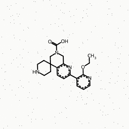 CCOc1ncccc1-c1ccc2c(n1)CN(C(=O)O)CC21CCNCC1